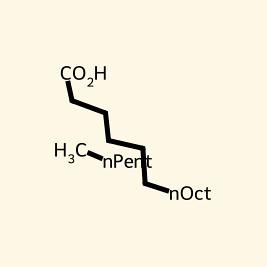 CCCCCC.CCCCCCCCCCCCCC(=O)O